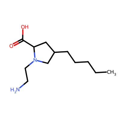 CCCCCC1CC(C(=O)O)N(CCN)C1